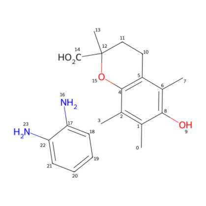 Cc1c(C)c2c(c(C)c1O)CCC(C)(C(=O)O)O2.Nc1ccccc1N